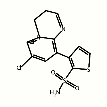 NS(=O)(=O)c1sccc1C1=C2N=CCCC23N=CC=C3C(Cl)=C1